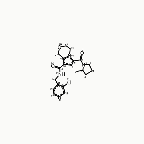 CC1CCCN1C(=O)c1cc(C(=O)NCc2ccncc2Cl)c2n1CCOC2